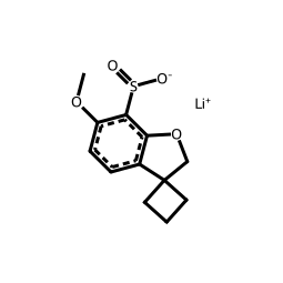 COc1ccc2c(c1S(=O)[O-])OCC21CCC1.[Li+]